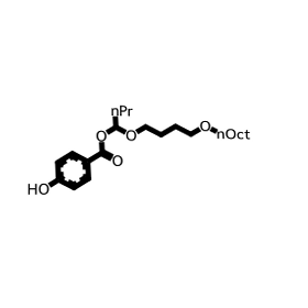 CCCCCCCCOCCCCOC(CCC)OC(=O)c1ccc(O)cc1